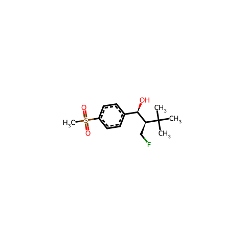 CC(C)(C)[C@@H](CF)[C@H](O)c1ccc(S(C)(=O)=O)cc1